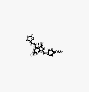 COc1ccc(Cn2nc(Br)c3c(NCC4CCCO4)nc(Cl)nc32)cc1